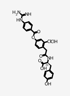 Cl.N=C(N)Nc1ccc(C(=O)Oc2ccc(CC(=O)N[C@@H](Cc3ccc(O)cc3)C(=O)O)c(Cl)c2)cc1